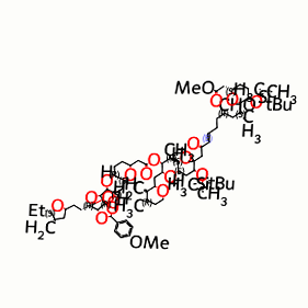 C=C1C(CC2O[C@H]3CC(O[Si](C)(C)C(C)(C)C)C(CC(=O)/C=C/CC[C@@H](C=O)C[C@H](C)C4O[C@H](CC(=O)OC)CCC4O[Si](C)(C)C(C)(C)C)O[C@H]3[C@H](C)C2OC(=O)CC2CC[C@H]3OC4C5O[C@@]6(CCC7CC(=C)[C@H](CC)O7)OC([C@H]4O[C@@]54OC(c5ccc(OC)cc5)OC64)[C@H]3O2)OCC[C@H]1C